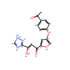 CC(=O)c1ccc(Oc2coc(C(=O)C=C(O)c3nc[nH]n3)c2)cc1